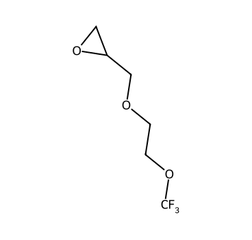 FC(F)(F)OCCOCC1CO1